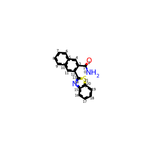 NC(=O)c1cc2ccccc2cc1-c1nc2ccccc2s1